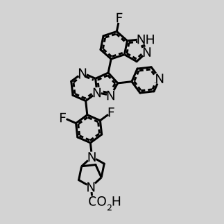 O=C(O)N1CC2CC1CN2c1cc(F)c(-c2ccnc3c(-c4ccc(F)c5[nH]ncc45)c(-c4ccncc4)nn23)c(F)c1